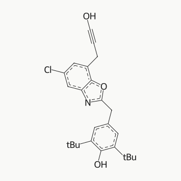 CC(C)(C)c1cc(Cc2nc3cc(Cl)cc(CC#CO)c3o2)cc(C(C)(C)C)c1O